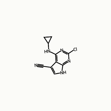 N#Cc1c[nH]c2nc(Cl)nc(NC3CC3)c12